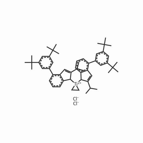 CC(C)C1=Cc2c(-c3cc(C(C)(C)C)cc(C(C)(C)C)c3)cccc2[CH]1[Ti+2]1([CH]2C(C(C)C)=Cc3c(-c4cc(C(C)(C)C)cc(C(C)(C)C)c4)cccc32)[CH2][CH2]1.[Cl-].[Cl-]